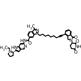 CCN1CCC[C@@H]1c1cc2cnc(NC(=O)c3ccc4c(C)nn(CCCCCCCC#Cc5cccc6c5CN(C5CCC(=O)NC5=O)C6=O)c4c3)cc2[nH]1